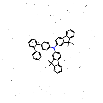 CC1(C)c2ccccc2-c2ccc(N(c3ccc(-c4ccccc4-c4ccccc4)cc3)c3ccc4c(c3)C(C)(C)c3ccccc3-4)cc21